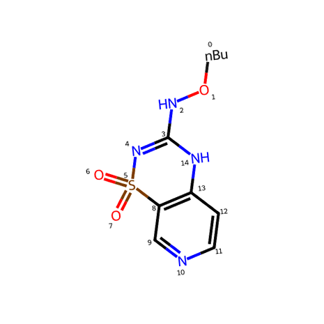 CCCCONC1=NS(=O)(=O)c2cnccc2N1